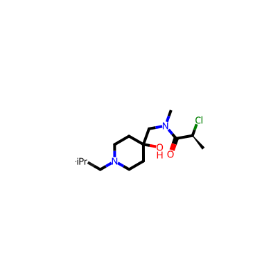 C[C](C)CN1CCC(O)(CN(C)C(=O)[C@H](C)Cl)CC1